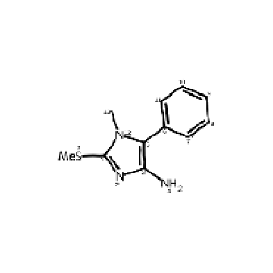 CSc1nc(N)c(-c2[c]cccc2)n1C